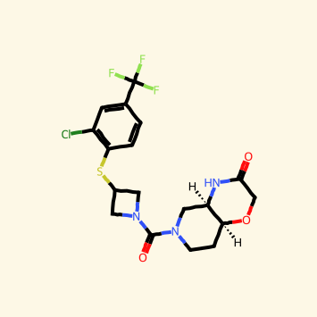 O=C1CO[C@H]2CCN(C(=O)N3CC(Sc4ccc(C(F)(F)F)cc4Cl)C3)C[C@H]2N1